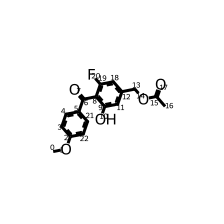 COc1ccc(C(=O)c2c(O)cc(COC(C)=O)cc2F)cc1